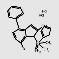 CC1=Cc2c(-c3ccccc3)ccc(Br)c2[CH]1[Zr]([CH3])([CH3])(=[SiH2])[C]1=CC=CC1.Cl.Cl